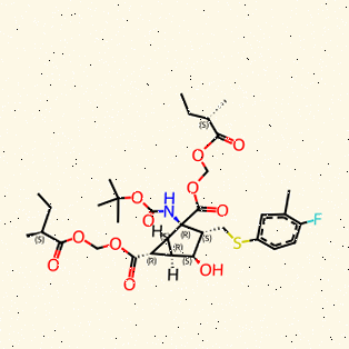 CC[C@H](C)C(=O)OCOC(=O)[C@H]1[C@@H]2[C@H](O)[C@@H](CSc3ccc(F)c(C)c3)[C@@](NC(=O)OC(C)(C)C)(C(=O)OCOC(=O)[C@@H](C)CC)[C@H]12